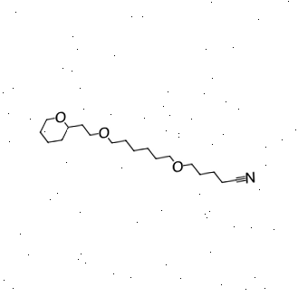 N#CCCCCOCCCCCCOCCC1CCCCO1